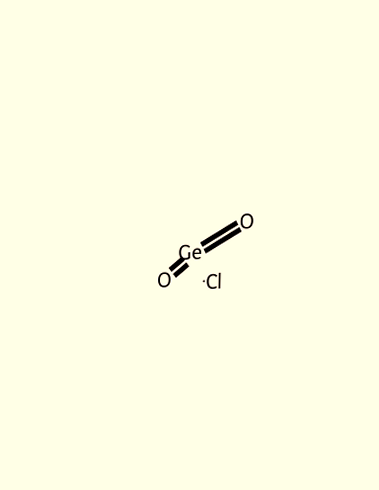 [Cl].[O]=[Ge]=[O]